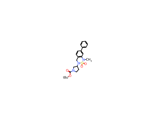 CN1c2cc(-c3ccccc3)ccc2CN(C2CCN(C(=O)OC(C)(C)C)C2)S1(=O)=O